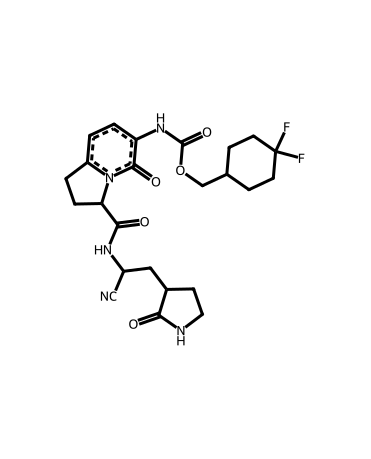 N#CC(CC1CCNC1=O)NC(=O)C1CCc2ccc(NC(=O)OCC3CCC(F)(F)CC3)c(=O)n21